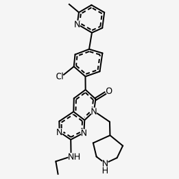 CCNc1ncc2cc(-c3ccc(-c4cccc(C)n4)cc3Cl)c(=O)n(CC3CCNCC3)c2n1